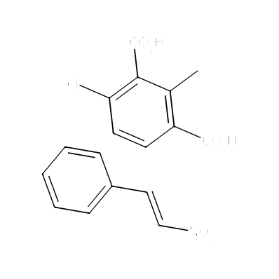 Cc1c(C(=O)O)ccc(Cl)c1C(=O)O.O=[N+]([O-])/C=C/c1ccccc1